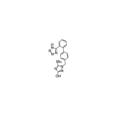 CC(C)(C)c1nc(O)nn1Cc1ccc(-c2ccccc2-c2nnn[nH]2)cc1